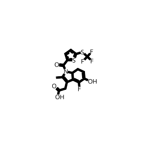 CC1=C(CC(=O)O)C2=C(F)C(O)=CCC2N1C(=O)c1ccc(SC(F)(F)F)s1